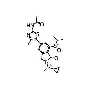 CC(=O)Nc1nc(C)c(-c2cc3c(c([S+]([O-])C(C)C)c2)C(=O)N([C@@H](C)C2CC2)C3)s1